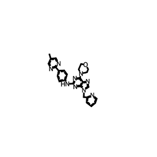 Cc1cnc(-c2ccc(Nc3nc(N4CCOCC4)c4ncn(Cc5ccccn5)c4n3)cc2)nc1